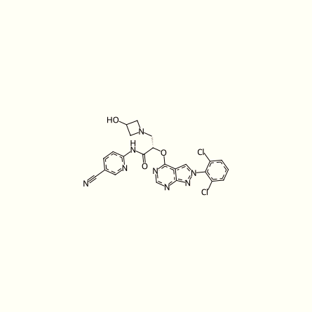 N#Cc1ccc(NC(=O)[C@H](CN2CC(O)C2)Oc2ncnc3nn(-c4c(Cl)cccc4Cl)cc23)nc1